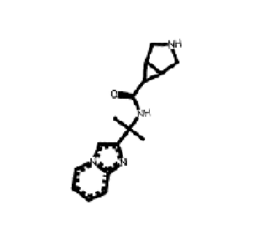 CC(C)(NC(=O)C1C2CNCC21)c1cn2ccccc2n1